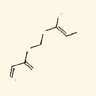 C=CC(=O)OCOC(C)=CC